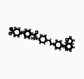 O=C(N[C@H]1CC[C@H](CCN2CCN(c3nccc4c3OCC4)CC2)CC1)c1ccc(N2CCS(=O)(=O)CC2)cc1